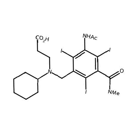 CNC(=O)c1c(I)c(CN(CCC(=O)O)C2CCCCC2)c(I)c(NC(C)=O)c1I